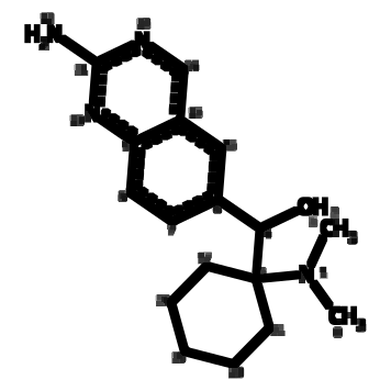 CN(C)C1(C(O)c2ccc3nc(N)ncc3c2)CCCCC1